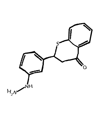 NNc1cccc(C2CC(=O)c3ccccc3S2)c1